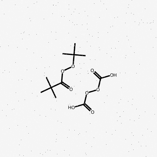 CC(C)(C)OOC(=O)C(C)(C)C.O=C(O)OOC(=O)O